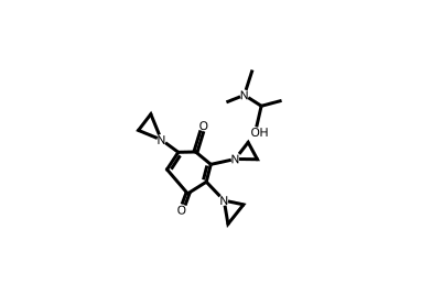 CC(O)N(C)C.O=C1C=C(N2CC2)C(=O)C(N2CC2)=C1N1CC1